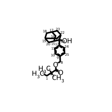 CCC(C)(C)C(=O)OCc1ccc(C2(O)C3CC4CC(C3)CC2C4)cc1